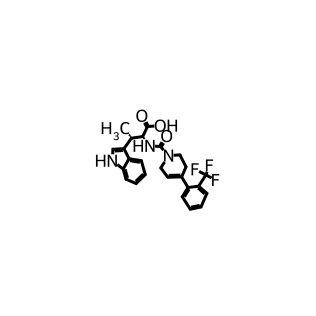 C[C@@H](c1c[nH]c2ccccc12)[C@@H](NC(=O)N1CC=C(c2ccccc2C(F)(F)F)CC1)C(=O)O